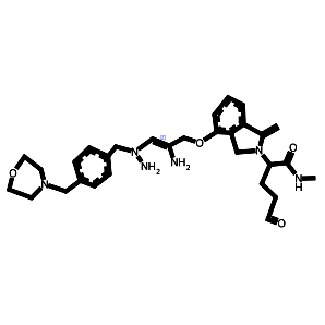 C=C1c2cccc(OC/C(N)=C/N(N)Cc3ccc(CN4CCOCC4)cc3)c2CN1C(CCC=O)C(=O)NC